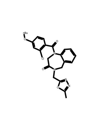 CCCCOc1ccc(C(=O)N2CC(=O)N(Cc3nnc(C)o3)Cc3ccccc32)c(Cl)c1